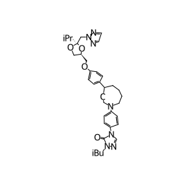 CCC(C)n1ncn(-c2ccc(N3CCCCC(c4ccc(OC[C@H]5CO[C@](Cn6nccn6)(C(C)C)O5)cc4)CC3)cc2)c1=O